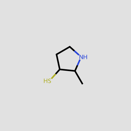 CC1NCCC1S